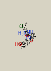 C=C/C(Cl)=C\C=C(/N)NC(=O)c1ccccc1NC(=O)c1ccc(C2(CO)CC2)cc1